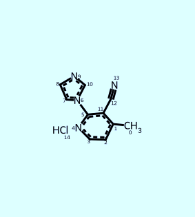 Cc1ccnc(-n2ccnc2)c1C#N.Cl